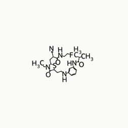 CCN1C(=O)C(CCNc2cccc(NC(=O)C(C)C)c2)SC1CC(C#N)C(=O)NCCF